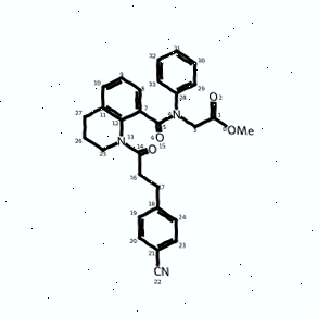 COC(=O)CN(C(=O)c1cccc2c1N(C(=O)CCc1ccc(C#N)cc1)CCC2)c1ccccc1